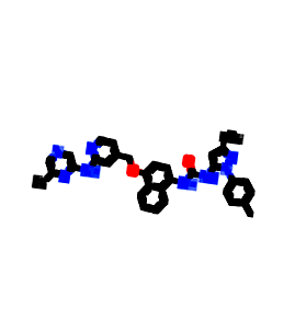 CCCCc1cc(NC(=O)Nc2ccc(OCc3ccnc(Nc4cncc(CC)n4)c3)c3ccccc23)n(-c2ccc(C)cc2)n1